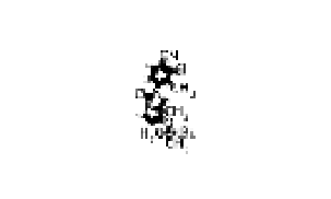 Cc1c(N2CC3(C)C(O[Si](C)(C)C(C)(C)C)=CCN3C2=O)ccc(C#N)c1Cl